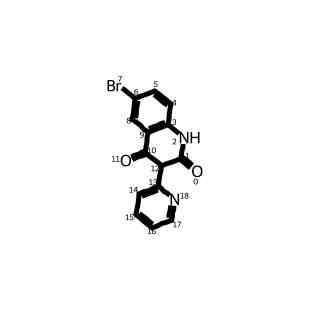 O=C1Nc2ccc(Br)cc2C(=O)C1c1ccccn1